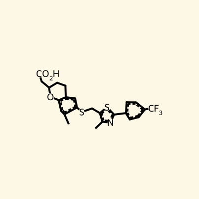 Cc1cc2c(cc1SCc1sc(-c3ccc(C(F)(F)F)cc3)nc1C)CCC(CC(=O)O)O2